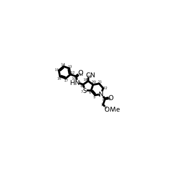 COCC(=O)N1C=C2SC(NC(=O)c3ccccc3)C(C#N)C2CC1